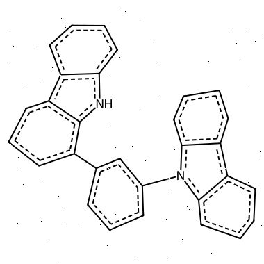 c1cc(-c2cccc3c2[nH]c2ccccc23)cc(-n2c3ccccc3c3ccccc32)c1